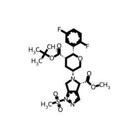 COC(=O)[C@@H]1c2cnn(S(C)(=O)=O)c2CN1[C@H]1CO[C@@H](c2cc(F)ccc2F)[C@@H](C(=O)OC(C)(C)C)C1